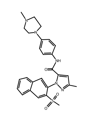 Cc1cc(C(=O)Nc2ccc(N3CCN(C)CC3)cc2)n(-c2cc3ccccc3cc2S(C)(=O)=O)n1